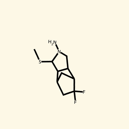 CSC1C2C3CC(C2CN1N)C(F)(F)C3